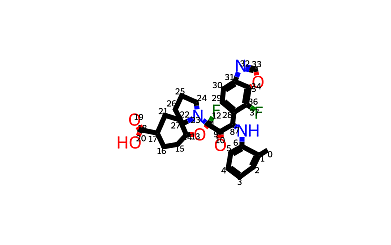 Cc1ccccc1NC(C(=O)C(F)(OC1CCC(C(=O)O)CC1)N1CCCC1)c1ccc2ncoc2c1F